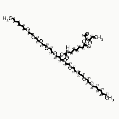 CCCCCCCOCCOCCOCCOCCOCC(COCCOCCOCCOCCOCCCCCCC)OC(=O)NCCCCCC(=O)ON(C=O)C(=O)CC